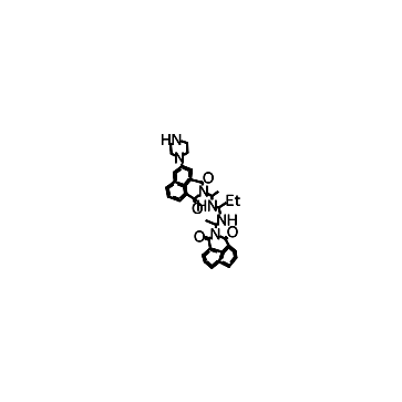 CCC(NC(C)N1C(=O)c2cccc3cccc(c23)C1=O)NC(C)N1C(=O)c2cccc3cc(N4CCNCC4)cc(c23)C1=O